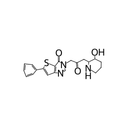 O=C(CC1NCCCC1O)Cn1cnc2cc(-c3ccccc3)sc2c1=O